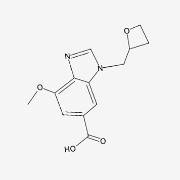 COc1cc(C(=O)O)cc2c1ncn2CC1CCO1